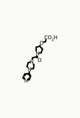 O=C(O)COC1CCN(C(=O)CN2CCN(c3ccncc3)CC2)CC1